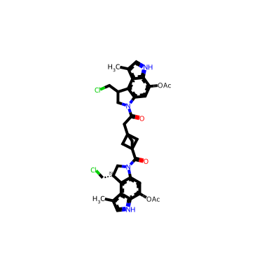 CC(=O)Oc1cc2c(c3c(C)c[nH]c13)C(CCl)CN2C(=O)CC12CC(C(=O)N3C[C@@H](CCl)c4c3cc(OC(C)=O)c3[nH]cc(C)c43)(C1)C2